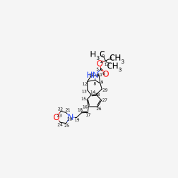 CC(C)(C)OC(=O)NC1C2CCC1Cc1cc(C=CCN3CCOCC3)ccc1C2